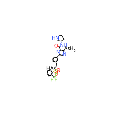 O=C(N[C@H]1CCCNC1)c1nc(-c2cccc(C[AsH]S(=O)(=O)c3ccccc3C(F)(F)F)c2)cnc1[AsH2]